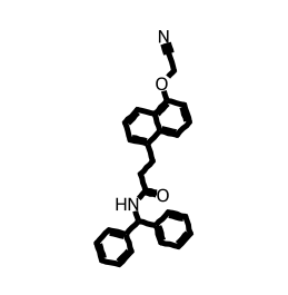 N#CCOc1cccc2c(CCC(=O)NC(c3ccccc3)c3ccccc3)cccc12